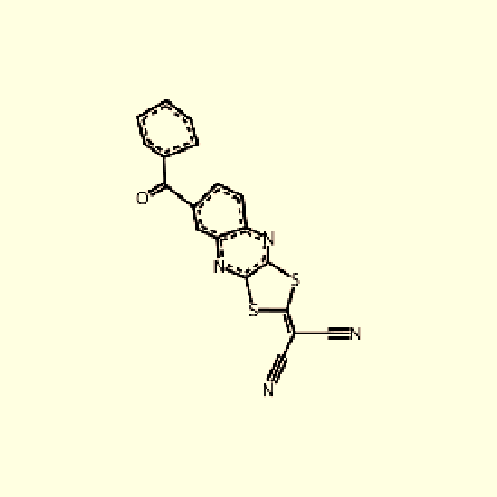 N#CC(C#N)=C1Sc2nc3ccc(C(=O)c4ccccc4)cc3nc2S1